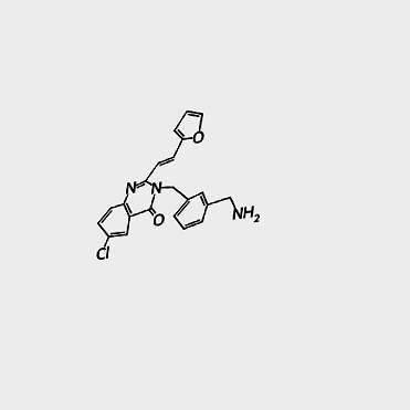 NCc1cccc(Cn2c(C=Cc3ccco3)nc3ccc(Cl)cc3c2=O)c1